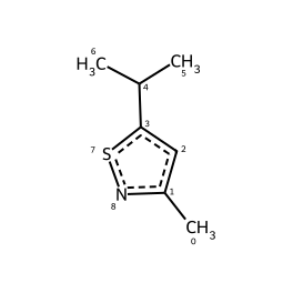 Cc1cc(C(C)C)sn1